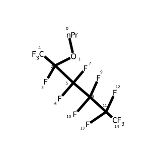 CCCOC(F)(C(F)(F)F)C(F)(F)C(F)(F)C(F)(F)C(F)(F)F